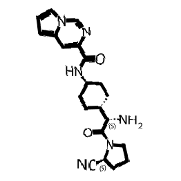 N#C[C@@H]1CCCN1C(=O)[C@@H](N)[C@H]1CC[C@H](NC(=O)c2cc3cccn3cn2)CC1